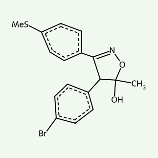 CSc1ccc(C2=NOC(C)(O)C2c2ccc(Br)cc2)cc1